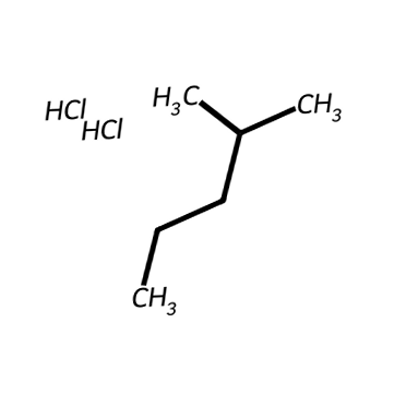 CCCC(C)C.Cl.Cl